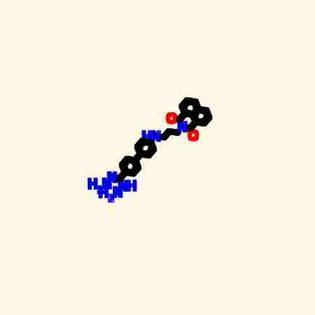 N/N=C(\NN)c1ccc(-c2ccc(NCCCN3C(=O)c4cccc5cccc(c45)C3=O)cc2)cc1